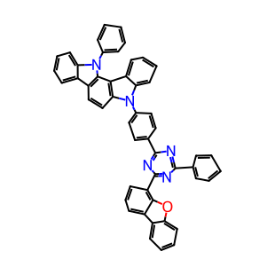 c1ccc(-c2nc(-c3ccc(-n4c5ccccc5c5c4ccc4c6ccccc6n(-c6ccccc6)c45)cc3)nc(-c3cccc4c3oc3ccccc34)n2)cc1